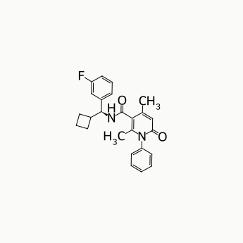 Cc1cc(=O)n(-c2ccccc2)c(C)c1C(=O)N[C@H](c1cccc(F)c1)C1CCC1